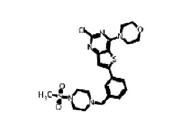 CS(=O)(=O)N1CCN(Cc2cccc(-c3cc4nc(Cl)nc(N5CCOCC5)c4s3)c2)CC1